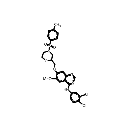 COc1cc2c(Nc3ccc(Cl)c(Cl)c3)ncnc2cc1OCC1CN(S(=O)(=O)c2ccc(C)cc2)CCO1